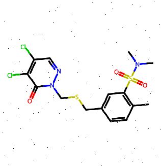 Cc1ccc(CSCn2ncc(Cl)c(Cl)c2=O)cc1S(=O)(=O)N(C)C